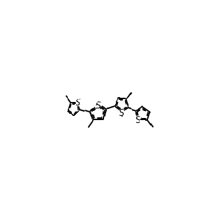 Cc1ccc(-c2sc(-c3cc(C)c(-c4ccc(C)s4)s3)cc2C)s1